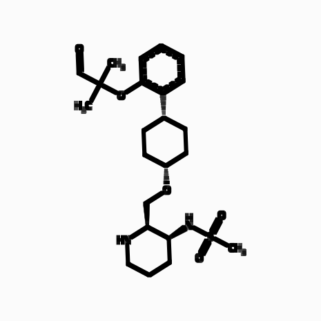 CC(C)(C=O)Oc1ccccc1[C@H]1CC[C@@H](OC[C@@H]2NCCC[C@@H]2NS(C)(=O)=O)CC1